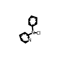 ClN(c1ccccc1)c1ccccn1